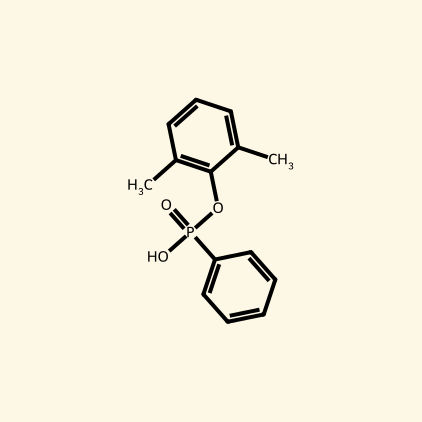 Cc1cccc(C)c1OP(=O)(O)c1ccccc1